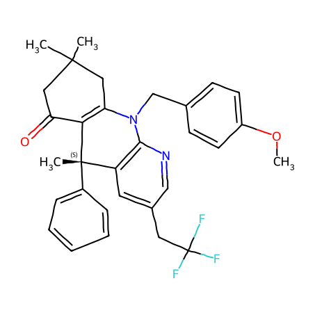 COc1ccc(CN2C3=C(C(=O)CC(C)(C)C3)[C@@](C)(c3ccccc3)c3cc(CC(F)(F)F)cnc32)cc1